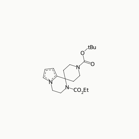 CCOC(=O)N1CCn2cccc2C12CCN(C(=O)OC(C)(C)C)CC2